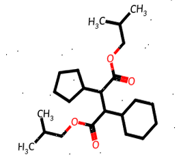 CC(C)COC(=O)C(C1CCCCC1)C(C(=O)OCC(C)C)C1CCCC1